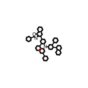 c1ccc(-c2cccc(N(c3ccc(-c4cccc5ccccc45)c(-c4ccccc4)c3)c3ccc(-c4cc5ccccc5c5oc(-c6ccccc6)nc45)cc3-c3ccccc3)c2)cc1